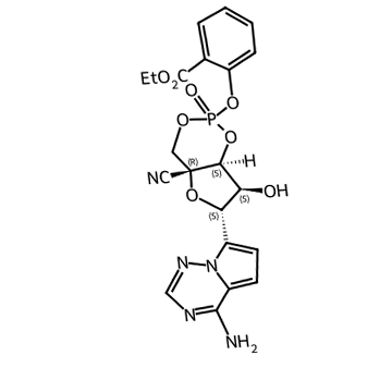 CCOC(=O)c1ccccc1OP1(=O)OC[C@@]2(C#N)O[C@@H](c3ccc4c(N)ncnn34)[C@H](O)[C@@H]2O1